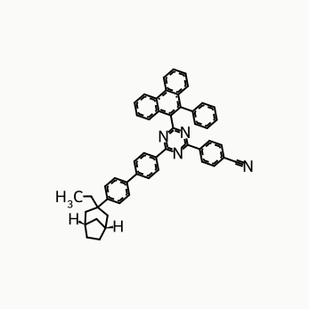 CCC1(c2ccc(-c3ccc(-c4nc(-c5ccc(C#N)cc5)nc(-c5c(-c6ccccc6)c6ccccc6c6ccccc56)n4)cc3)cc2)C[C@@H]2CC[C@@H](C2)C1